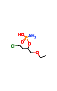 CCOCC(CCCl)OP(N)(=O)O